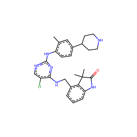 Cc1cc(C2CCNCC2)ccc1Nc1ncc(Cl)c(NCc2cccc3c2C(C)(C)C(=O)N3)n1